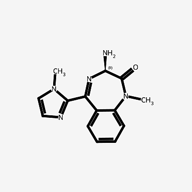 CN1C(=O)[C@H](N)N=C(c2nccn2C)c2ccccc21